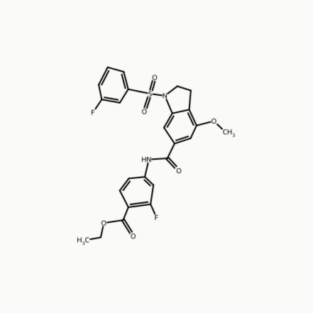 CCOC(=O)c1ccc(NC(=O)c2cc(OC)c3c(c2)N(S(=O)(=O)c2cccc(F)c2)CC3)cc1F